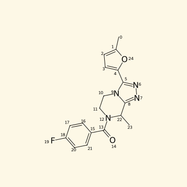 Cc1ccc(-c2nnc3n2CCN(C(=O)c2ccc(F)cc2)C3C)o1